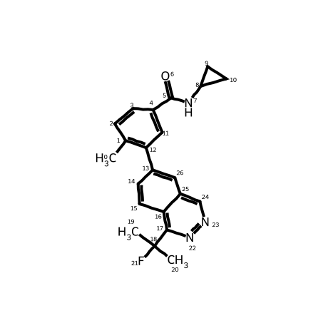 Cc1ccc(C(=O)NC2CC2)cc1-c1ccc2c(C(C)(C)F)nncc2c1